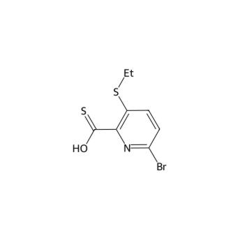 CCSc1ccc(Br)nc1C(O)=S